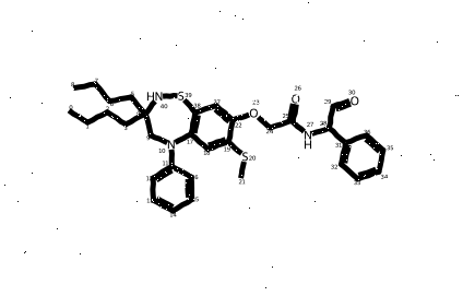 CCCCC1(CCCC)CN(c2ccccc2)c2cc(SC)c(OCC(=O)NC(C=O)c3ccccc3)cc2SN1